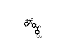 CC(C)(C)c1ccc(C(=O)c2ccc(-n3c(=O)[nH]c4ccccc43)cc2)cc1